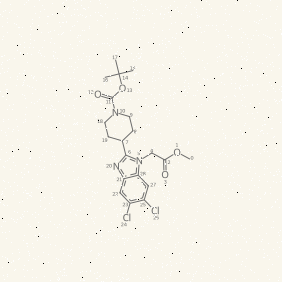 COC(=O)Cn1c(C2CCN(C(=O)OC(C)(C)C)CC2)nc2cc(Cl)c(Cl)cc21